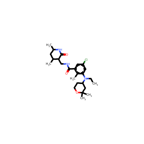 CCN(c1cc(Cl)cc(C(=O)NCC2C(=O)NC(C)CC2C)c1C)C1CCOC(C)(C)C1